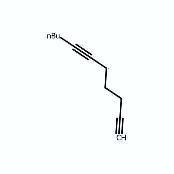 C#CCC[CH]C#CCCCC